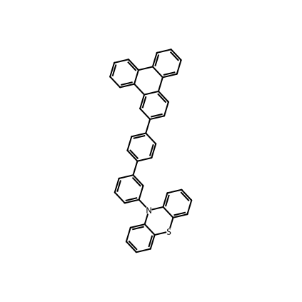 c1cc(-c2ccc(-c3ccc4c5ccccc5c5ccccc5c4c3)cc2)cc(N2c3ccccc3Sc3ccccc32)c1